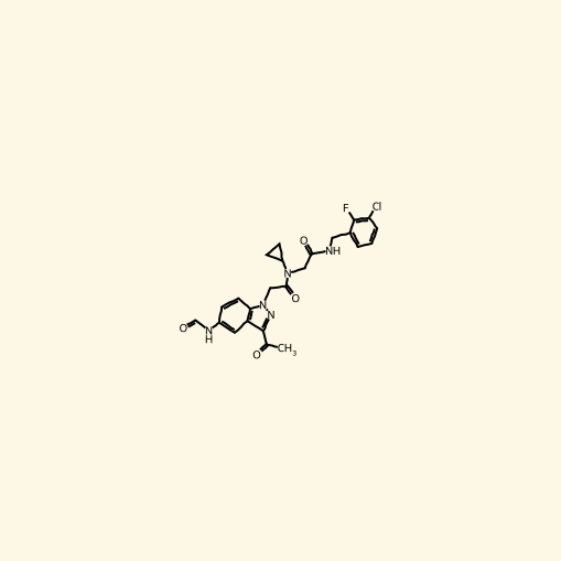 CC(=O)c1nn(CC(=O)N(CC(=O)NCc2cccc(Cl)c2F)C2CC2)c2ccc(NC=O)cc12